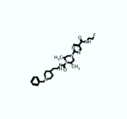 C[C@@H]1CN(c2ncc(C(=O)NCCF)cn2)C[C@H](C)N1C(=O)NCCC1CCN(Cc2ccccc2)CC1